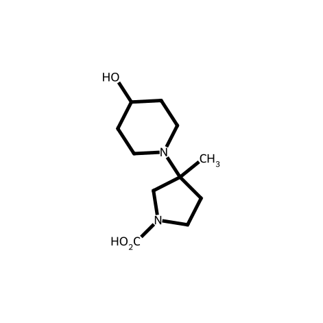 CC1(N2CCC(O)CC2)CCN(C(=O)O)C1